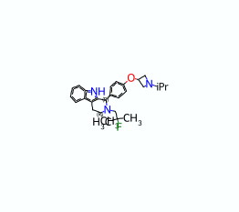 CC(C)N1CC(Oc2ccc([C@@H]3c4[nH]c5ccccc5c4C[C@@H](C)N3CC(C)(C)F)cc2)C1